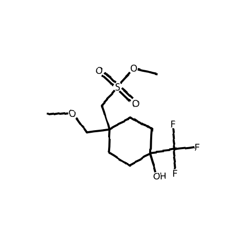 COCC1(CS(=O)(=O)OC)CCC(O)(C(F)(F)F)CC1